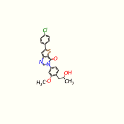 COc1cc(-n2cnc3cc(-c4ccc(Cl)cc4)sc3c2=O)ccc1CC(C)O